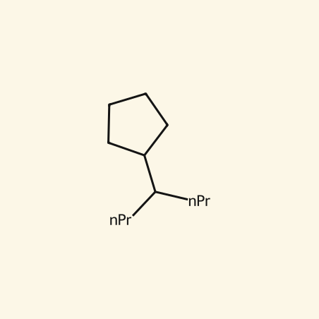 CCCC(CCC)C1CCCC1